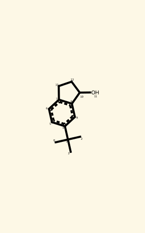 CC(C)(C)c1ccc2c(c1)C(O)CC2